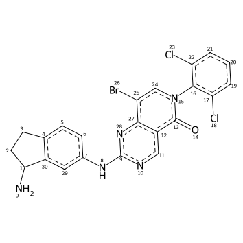 NC1CCc2ccc(Nc3ncc4c(=O)n(-c5c(Cl)cccc5Cl)cc(Br)c4n3)cc21